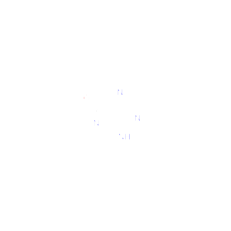 Cc1cnc2[nH]c(C)nc(=O)c2n1